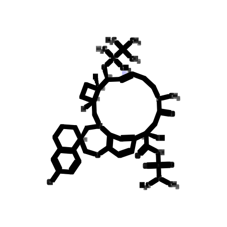 CN1CC/C=C/[C@H](O[Si](C)(C)C(C)(C)C)[C@@H]2CC[C@H]2CN2C[C@@]3(CCCc4cc(Cl)ccc43)COc3ccc(cc32)[C@@](O)(C(=O)NS(=O)(=O)N(C)C)CC1=O